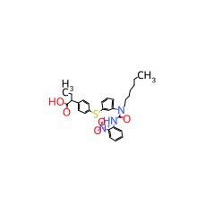 CCCCCCCN(C(=O)Nc1ccccc1[N+](=O)[O-])c1cccc(Sc2ccc(C(CC)C(=O)O)cc2)c1